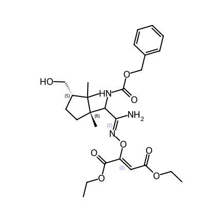 CCOC(=O)/C=C(\O/N=C(\N)C(NC(=O)OCc1ccccc1)[C@]1(C)CC[C@H](CO)C1(C)C)C(=O)OCC